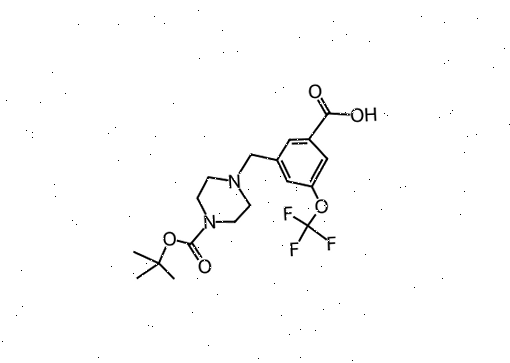 CC(C)(C)OC(=O)N1CCN(Cc2cc(OC(F)(F)F)cc(C(=O)O)c2)CC1